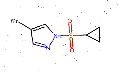 CC(C)c1cnn(S(=O)(=O)C2CC2)c1